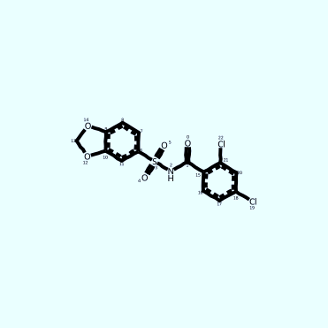 O=C(NS(=O)(=O)c1ccc2c(c1)OCO2)c1ccc(Cl)cc1Cl